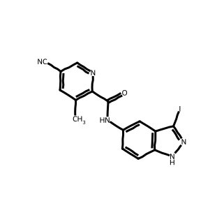 Cc1cc(C#N)cnc1C(=O)Nc1ccc2[nH]nc(I)c2c1